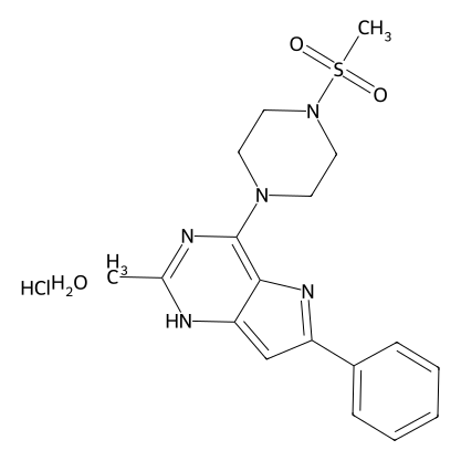 Cc1nc(N2CCN(S(C)(=O)=O)CC2)c2nc(-c3ccccc3)cc-2[nH]1.Cl.O